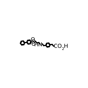 O=C(O)CCc1ccc(CCNCCCS(=O)(=O)c2ccc(-c3ccccc3)cc2)cc1